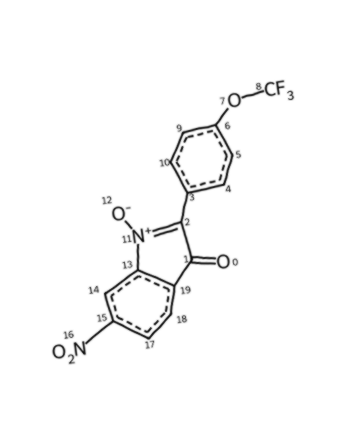 O=C1C(c2ccc(OC(F)(F)F)cc2)=[N+]([O-])c2cc([N+](=O)[O-])ccc21